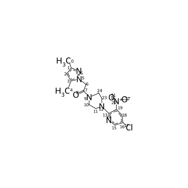 Cc1cc(C)n(CC(=O)N2CCN(c3ncc(Cl)cc3[N+](=O)[O-])CC2)n1